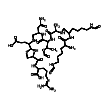 CC(NCC(CCCCNC=O)NC(=O)C(N)CCCCNC=O)C(=O)NC(C(=O)NC(CNC(CCC(=O)O)C1NC(C(=O)NC(CCCN=C(N)N)C(=O)O)CS1)CC(N)=O)C(C)OC=O